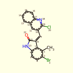 Cc1c(Br)ccc2c1C(=Cc1cc3ccccc3nc1Cl)C(=O)N2